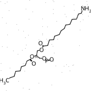 CCCCCCCCC(=O)O[C@H](COP=O)COC(=O)CCCCCCCCCCCCCN